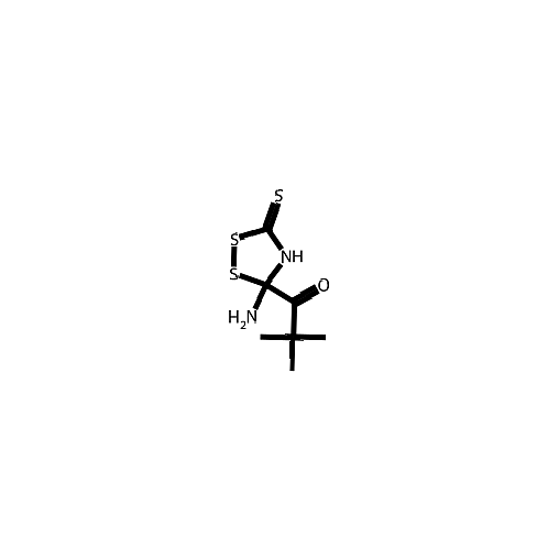 CC(C)(C)C(=O)C1(N)NC(=S)SS1